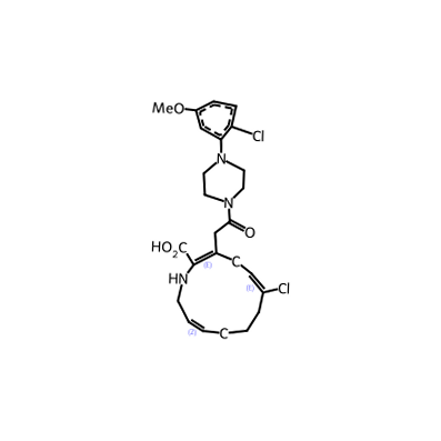 COc1ccc(Cl)c(N2CCN(C(=O)C/C3=C(\C(=O)O)NC/C=C\CCC/C(Cl)=C\C3)CC2)c1